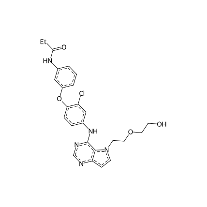 CCC(=O)Nc1cccc(Oc2ccc(Nc3ncnc4ccn(CCOCCO)c34)cc2Cl)c1